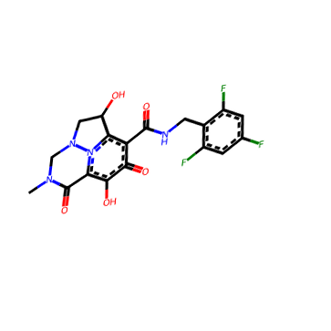 CN1CN2CC(O)c3c(C(=O)NCc4c(F)cc(F)cc4F)c(=O)c(O)c(n32)C1=O